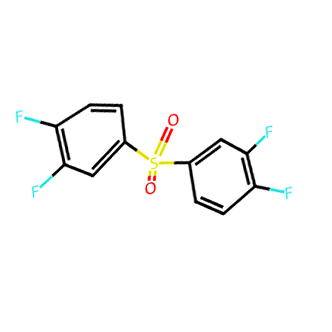 O=S(=O)(c1ccc(F)c(F)c1)c1ccc(F)c(F)c1